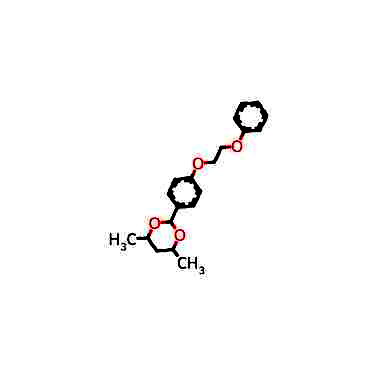 CC1CC(C)OC(c2ccc(OCCOc3ccccc3)cc2)O1